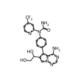 NC(=O)N(c1ccc(-c2c(C(O)CO)cn3ncnc(N)c23)cc1)c1cc(C(F)(F)F)ccn1